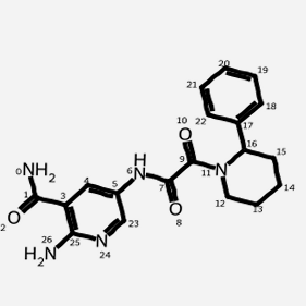 NC(=O)c1cc(NC(=O)C(=O)N2CCCCC2c2ccccc2)cnc1N